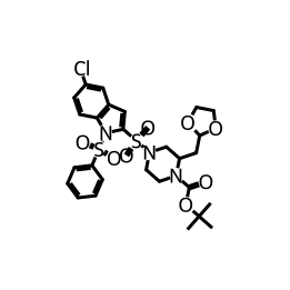 CC(C)(C)OC(=O)N1CCN(S(=O)(=O)c2cc3cc(Cl)ccc3n2S(=O)(=O)c2ccccc2)CC1CC1OCCO1